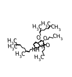 CCCCOc1c(OCC=C(C)CCC=C(C)C)c2ccc(NCC=C(C)CCC=C(C)C)cc2n(CCCC)c1=O